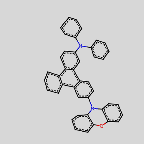 c1ccc(N(c2ccccc2)c2ccc3c4ccccc4c4cc(N5c6ccccc6Oc6ccccc65)ccc4c3c2)cc1